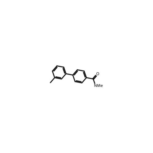 CNC(=O)c1ccc(-c2cccc(C)c2)cc1